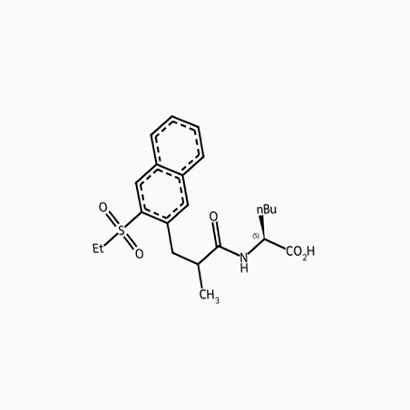 CCCC[C@H](NC(=O)C(C)Cc1cc2ccccc2cc1S(=O)(=O)CC)C(=O)O